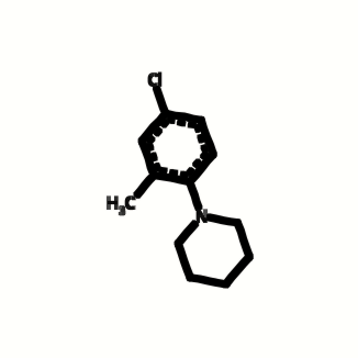 Cc1cc(Cl)ccc1N1CCCCC1